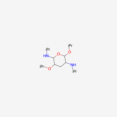 CC(C)NC1CC(OC(C)C)C(NC(C)C)OC1OC(C)C